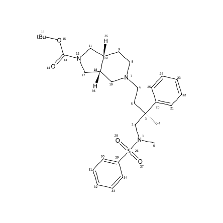 CN(C[C@@](C)(CCN1CC[C@H]2CN(C(=O)OC(C)(C)C)C[C@H]2C1)c1ccccc1)S(=O)(=O)c1ccccc1